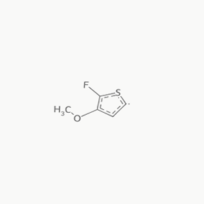 COc1c[c]sc1F